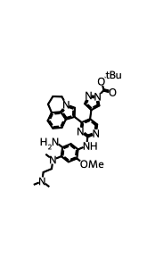 COc1cc(N(C)CCN(C)C)c(N)cc1Nc1ncc(-c2cnn(C(=O)OC(C)(C)C)c2)c(-c2cn3c4c(cccc24)CCC3)n1